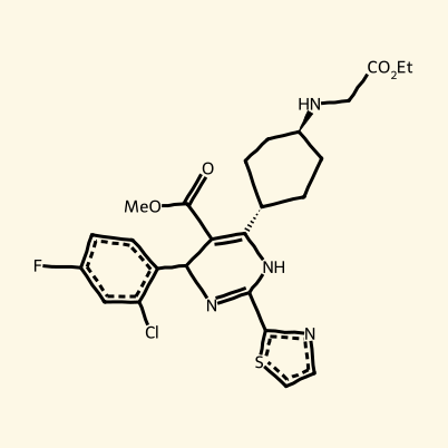 CCOC(=O)CN[C@H]1CC[C@H](C2=C(C(=O)OC)C(c3ccc(F)cc3Cl)N=C(c3nccs3)N2)CC1